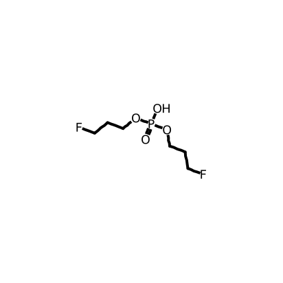 O=P(O)(OCCCF)OCCCF